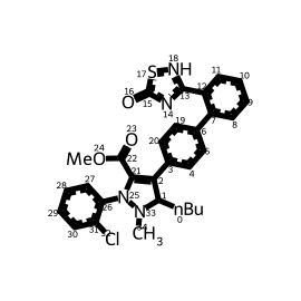 CCCCC1C(c2ccc(-c3ccccc3-c3nc(=O)s[nH]3)cc2)=C(C(=O)OC)N(c2ccccc2Cl)N1C